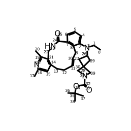 CCN(c1cccc2c1C/C=C/CCc1cc(C)nc(C)c1CNC2=O)C1CC2(C1)CN(C(=O)OC(C)(C)C)C2